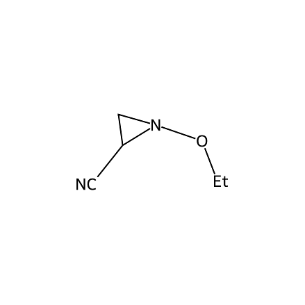 [CH2]CON1CC1C#N